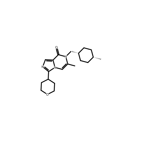 Cc1cn2c(C3CCOCC3)ncc2c(=O)n1C[C@H]1CC[C@@H](C)CC1